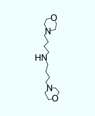 C(CCN1CCOCC1)CNCCCCN1CCOCC1